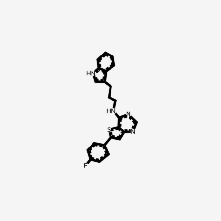 Fc1ccc(-c2cc3ncnc(NCCCc4c[nH]c5ccccc45)c3s2)cc1